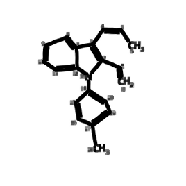 C=Cc1c(/C=C\C)c2ccccc2n1-c1ccc(C)cc1